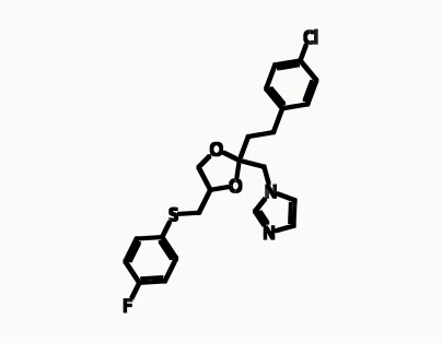 Fc1ccc(SCC2COC(CCc3ccc(Cl)cc3)(Cn3ccnc3)O2)cc1